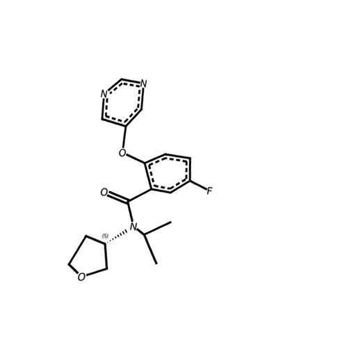 CC(C)N(C(=O)c1cc(F)ccc1Oc1cncnc1)[C@H]1CCOC1